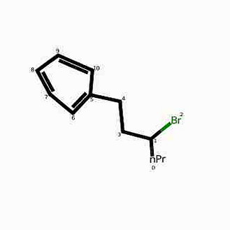 CCCC(Br)CCc1ccccc1